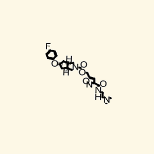 CN(C)CCNC(=O)c1cc(COC(=O)N2C[C@H]3C[C@@H](Oc4ccc(F)cc4)C[C@H]3C2)on1